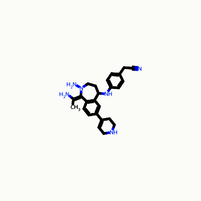 C/C(N)=C1\c2ccc(C3=CCNCC3)cc2C(Nc2ccc(CC#N)cc2)CCN1N